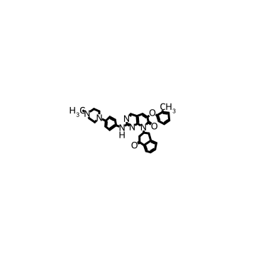 Cc1ccccc1Oc1cc2cnc(Nc3ccc(N4CCN(C)CC4)cc3)nc2n(C2CC(=O)c3ccccc3C2)c1=O